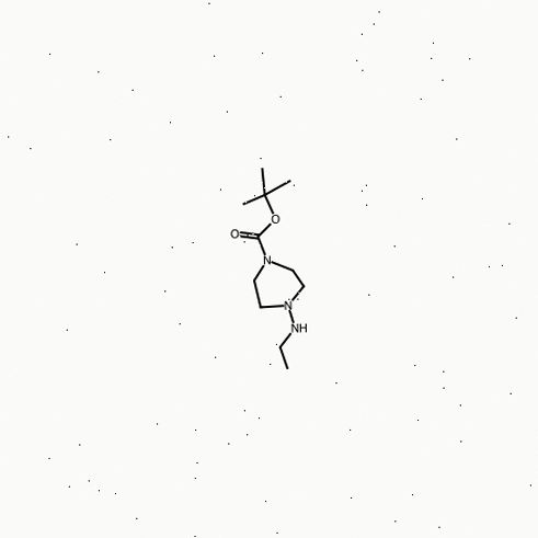 CCNN1CCN(C(=O)OC(C)(C)C)CC1